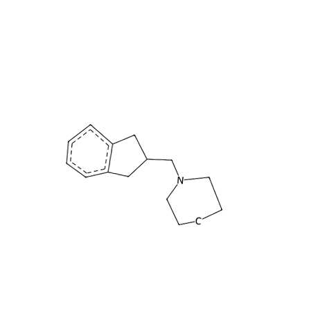 c1ccc2c(c1)CC(CN1CCCCC1)C2